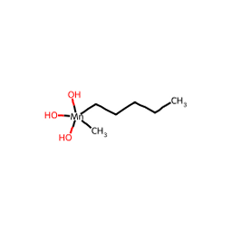 CCCC[CH2][Mn]([CH3])([OH])([OH])[OH]